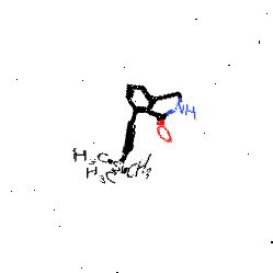 C[Si](C)(C)C#Cc1cccc2c1C(=O)NC2